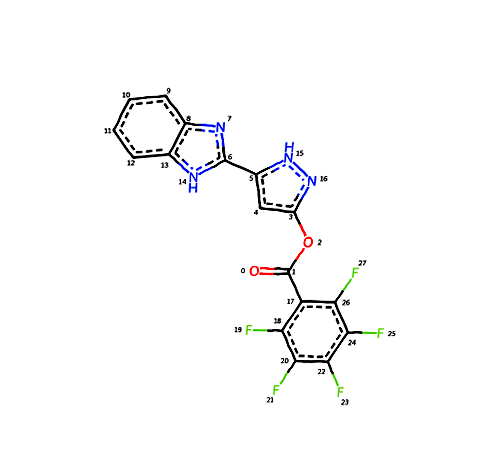 O=C(Oc1cc(-c2nc3ccccc3[nH]2)[nH]n1)c1c(F)c(F)c(F)c(F)c1F